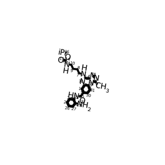 Cc1nnc2c(NCCCCNC(=O)OC(C)C)nc3cc(C(=O)Nc4ccccc4N)ccc3n12